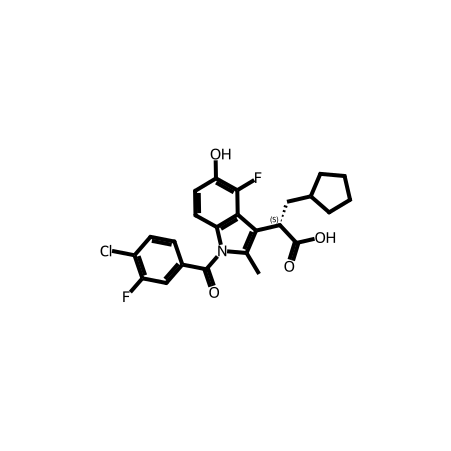 Cc1c([C@H](CC2CCCC2)C(=O)O)c2c(F)c(O)ccc2n1C(=O)c1ccc(Cl)c(F)c1